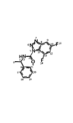 CC(NC(=O)n1nnc2cc(F)cc(F)c21)c1ccccc1